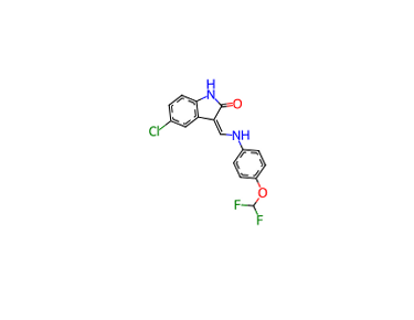 O=C1Nc2ccc(Cl)cc2C1=CNc1ccc(OC(F)F)cc1